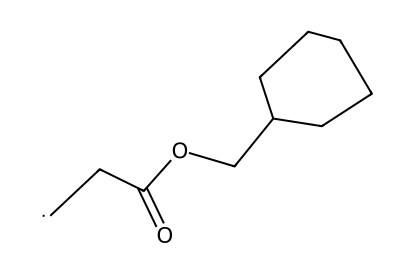 [CH2]CC(=O)OCC1CCCCC1